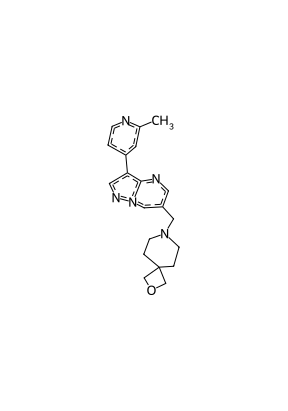 Cc1cc(-c2cnn3cc(CN4CCC5(CC4)COC5)cnc23)ccn1